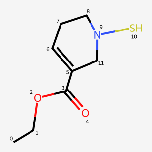 CCOC(=O)C1=CCCN(S)C1